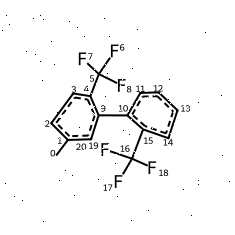 Cc1ccc(C(F)(F)F)c(-c2ccccc2C(F)(F)F)c1